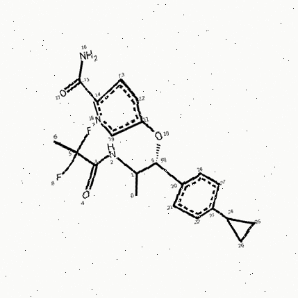 CC(NC(=O)C(C)(F)F)[C@H](Oc1ccc(C(N)=O)nc1)c1ccc(C2CC2)cc1